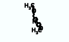 CCCOCCCc1ccc(-c2ccc(OC)cc2)nc1